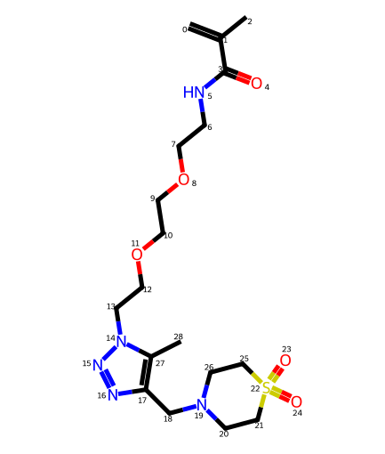 C=C(C)C(=O)NCCOCCOCCn1nnc(CN2CCS(=O)(=O)CC2)c1C